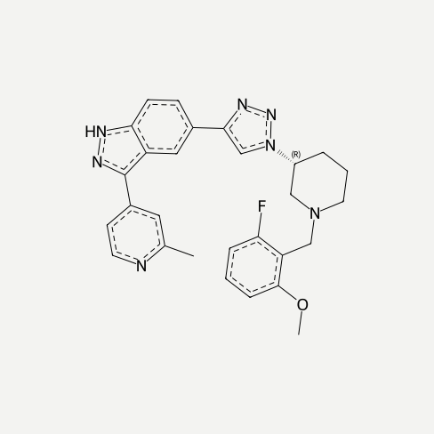 COc1cccc(F)c1CN1CCC[C@@H](n2cc(-c3ccc4[nH]nc(-c5ccnc(C)c5)c4c3)nn2)C1